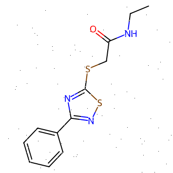 CCNC(=O)CSc1nc(-c2ccccc2)ns1